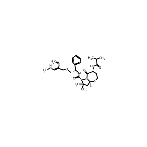 C=N/C(=C\NC)COC[C@@H](NC(=O)[C@H]1N2C(=O)[C@@H](NC(=S)C(C)C)CCS[C@H]2CC1(C)C)c1ccccc1